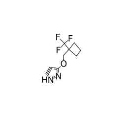 FC(F)(F)C1(COc2c#c[nH]n2)CCC1